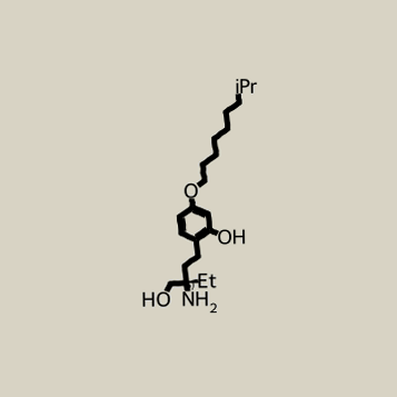 CC[C@@](N)(CO)CCc1ccc(OCCCCCCCC(C)C)cc1O